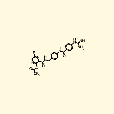 N=C(N)Nc1ccc(C(=O)Nc2ccc(CNC(=O)c3nc(F)cnc3OC(=O)C(F)(F)F)cc2)cc1